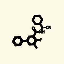 Cc1cc(-c2ccccc2)cc(C(=O)N[C@@H](C#N)C2CCCCC2)c1F